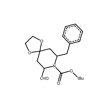 CC(C)(C)OC(=O)N1C(C=O)CC2(CC1Cc1ccccc1)OCCO2